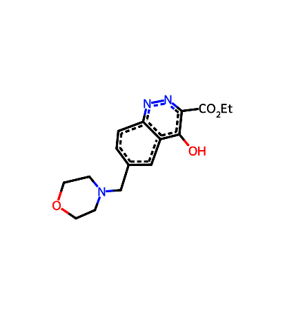 CCOC(=O)c1nnc2ccc(CN3CCOCC3)cc2c1O